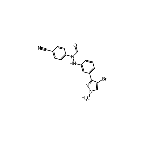 Cn1cc(Br)c(-c2cccc(NN(C=O)c3ccc(C#N)cc3)c2)n1